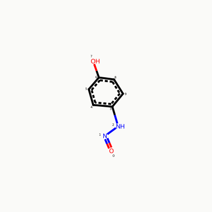 O=NNc1ccc(O)cc1